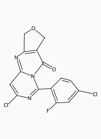 O=c1c2c(nc3cc(Cl)nc(-c4ccc(Cl)cc4F)n13)COC2